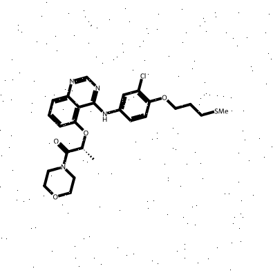 CSCCCOc1ccc(Nc2ncnc3cccc(O[C@H](C)C(=O)N4CCOCC4)c23)cc1Cl